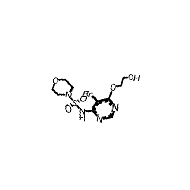 O=S(=O)(Nc1ncnc(OCCO)c1Br)N1CCOCC1